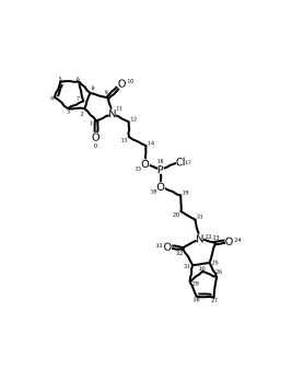 O=C1C2C3C=CC(C3)C2C(=O)N1CCCOP(Cl)OCCCN1C(=O)C2C3C=CC(C3)C2C1=O